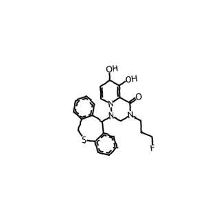 O=C1C2=C(O)C(O)C=CN2N(C2c3ccccc3CSc3ccccc32)CN1CCCF